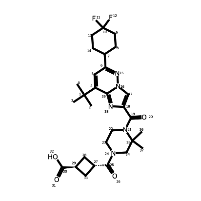 CC(C)(C)c1cc(C2CCC(F)(F)CC2)nn2cc(C(=O)N3CCN(C(=O)[C@H]4C[C@H](C(=O)O)C4)CC3(C)C)nc12